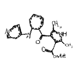 COC(=O)c1c(C)[nH]c(C)c1C(=O)c1ccccc1Nc1ccncc1